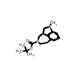 CN1C[C@@H]2CN(C(=O)OC(C)(C)C)CCc3cccc1c32